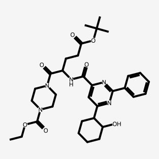 CCOC(=O)N1CCN(C(=O)C(CCC(=O)OC(C)(C)C)NC(=O)c2cc(C3CCCCC3O)nc(-c3ccccc3)n2)CC1